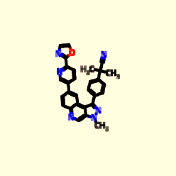 Cn1nc(-c2ccc(C(C)(C)C#N)cc2)c2c3cc(-c4ccc(-c5ncco5)nc4)ccc3ncc21